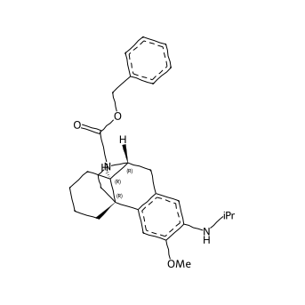 COc1cc2c(cc1NC(C)C)C[C@@H]1[C@@H]3CCCC[C@]23CCN1C(=O)OCc1ccccc1